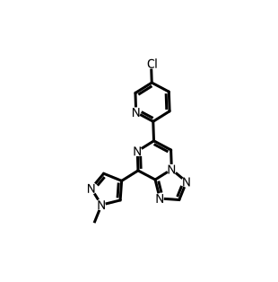 Cn1cc(-c2nc(-c3ccc(Cl)cn3)cn3ncnc23)cn1